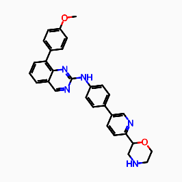 COc1ccc(-c2cccc3cnc(Nc4ccc(-c5ccc(C6CNCCO6)nc5)cc4)nc23)cc1